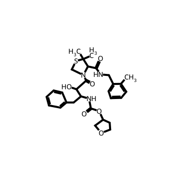 Cc1ccccc1CNC(=O)C1N(C(=O)C(O)C(Cc2ccccc2)NC(=O)OC2CCOC2)CSC1(C)C